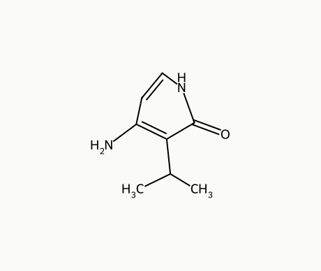 CC(C)c1c(N)cc[nH]c1=O